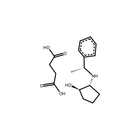 C[C@@H](N[C@@H]1CCC[C@H]1O)c1ccccc1.O=C(O)CCC(=O)O